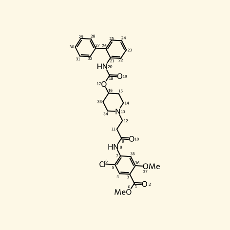 COC(=O)c1cc(Cl)c(NC(=O)CCN2CCC(OC(=O)Nc3ccccc3-c3ccccc3)CC2)cc1OC